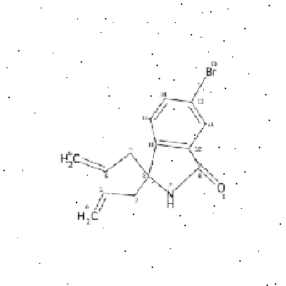 C=CCC1(CC=C)NC(=O)c2cc(Br)ccc21